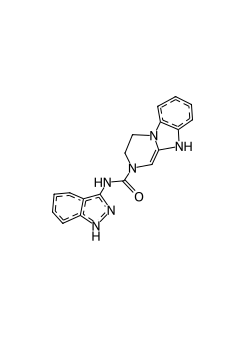 O=C(Nc1n[nH]c2ccccc12)N1C=C2Nc3ccccc3N2CC1